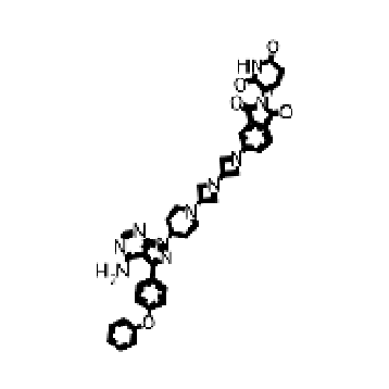 Nc1ncnc2c1c(-c1ccc(Oc3ccccc3)cc1)nn2C1CCN(C2CN(C3CN(c4ccc5c(c4)C(=O)N([C@@H]4CCC(=O)NC4=O)C5=O)C3)C2)CC1